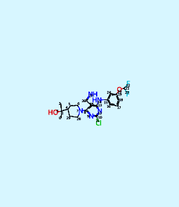 CC(C)(O)C1CCN(c2nc(Cl)nc(Nc3cccc(OC(F)F)c3)c2C=N)CC1